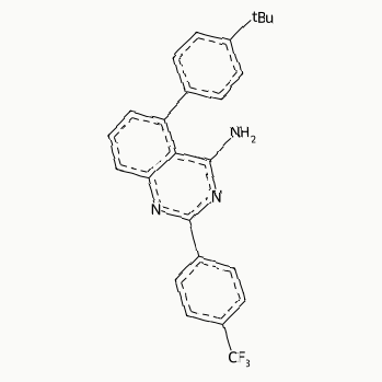 CC(C)(C)c1ccc(-c2cccc3nc(-c4ccc(C(F)(F)F)cc4)nc(N)c23)cc1